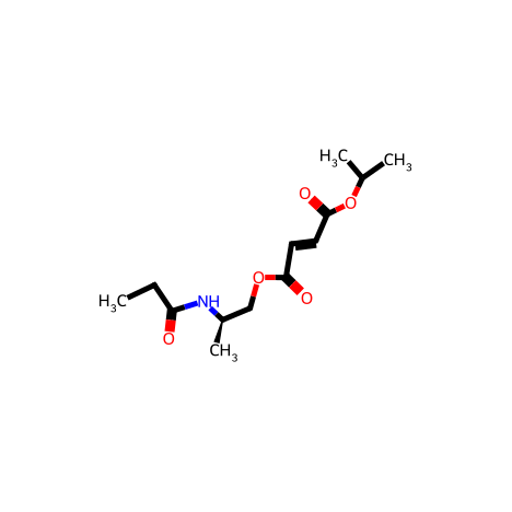 CCC(=O)N[C@H](C)COC(=O)/C=C/C(=O)OC(C)C